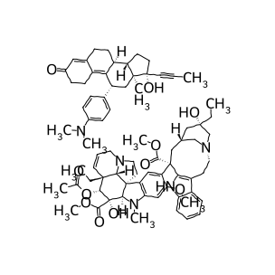 CC#C[C@]1(O)CC[C@H]2[C@@H]3CCC4=CC(=O)CCC4=C3[C@@H](c3ccc(N(C)C)cc3)C[C@@]21C.CC[C@]1(O)C[C@@H]2C[N@@](CCc3c([nH]c4ccccc34)[C@@](C(=O)OC)(c3cc4c(cc3OC)N(C)[C@H]3[C@@](O)(C(=O)OC)[C@H](OC(C)=O)[C@]5(CC)C=CCN6CC[C@]43[C@@H]65)C2)C1